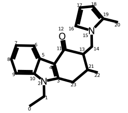 CCn1c2c(c3ccccc31)C(=O)C(Cn1cccc1C)C(C)C2